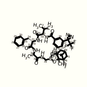 CC(C)[C@H](NC(=O)c1cccc(C2(C(F)(F)F)N=N2)c1)C(=O)N[C@@H](Cc1ccccc1)C(=O)N[C@@H](C)C(=O)NCB1O[C@@H]2CC3C[C@@H](C3(C)C)[C@]2(C)O1